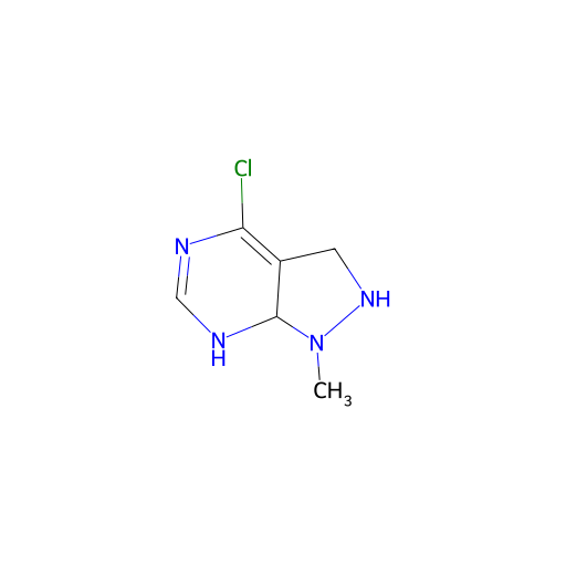 CN1NCC2=C(Cl)N=CNC21